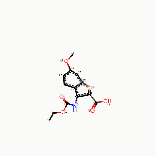 CCOC(=O)Nc1c(C(=O)O)sc2cc(OC)ccc12